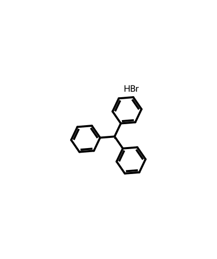 Br.c1ccc([C](c2ccccc2)c2ccccc2)cc1